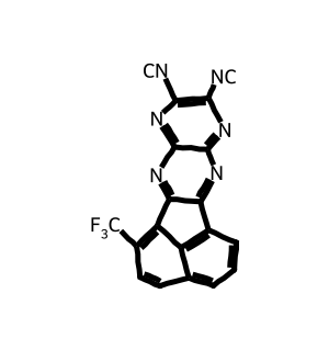 [C-]#[N+]c1nc2nc3c(nc2nc1[N+]#[C-])-c1c(C(F)(F)F)ccc2cccc-3c12